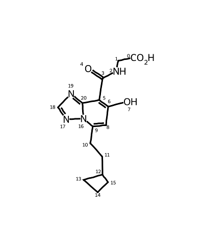 O=C(O)CNC(=O)c1c(O)cc(CCC2CCC2)n2ncnc12